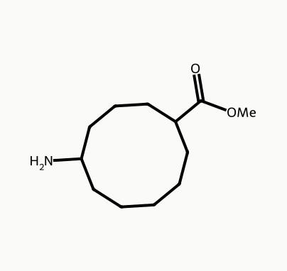 COC(=O)C1CCCCCC(N)CCC1